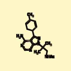 CC(=O)NCC(C)(C)n1nc(C2C=CC(C)=CC2)c2c(N)ncnc21